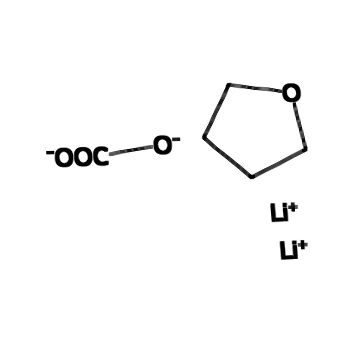 C1CCOC1.O=C([O-])[O-].[Li+].[Li+]